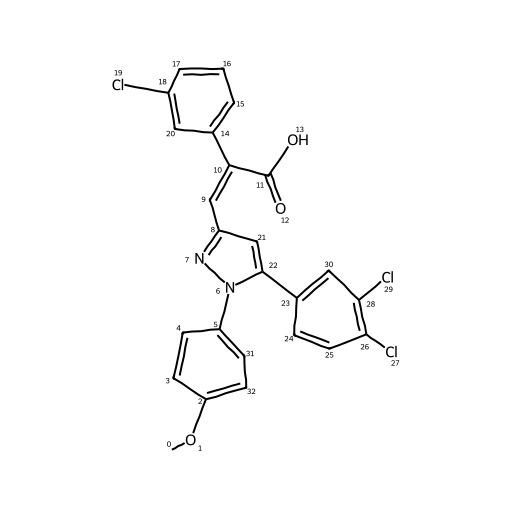 COc1ccc(-n2nc(C=C(C(=O)O)c3cccc(Cl)c3)cc2-c2ccc(Cl)c(Cl)c2)cc1